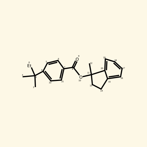 CCC(C)(C)c1ccc(C(=O)OC2(C)CCc3ccccc32)cc1